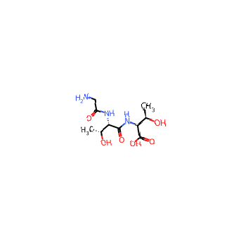 C[C@@H](O)[C@H](NC(=O)[C@@H](NC(=O)CN)[C@@H](C)O)C(=O)O